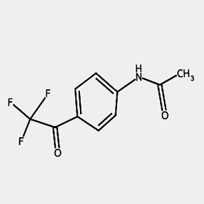 CC(=O)Nc1ccc(C(=O)C(F)(F)F)cc1